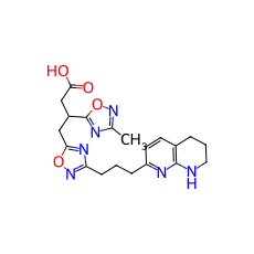 Cc1noc(C(CC(=O)O)Cc2nc(CCCc3ccc4c(n3)NCCC4)no2)n1